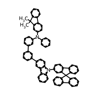 CC1(C)c2ccccc2-c2ccc(N(c3ccccc3)c3cccc(-c4cccc(-c5ccc6c(c5)c5ccccc5n6-c5ccc6c(c5)C5(c7ccccc7-c7ccccc75)c5ccccc5-6)c4)c3)cc21